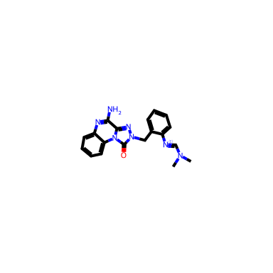 CN(C)/C=N/c1ccccc1Cn1nc2c(N)nc3ccccc3n2c1=O